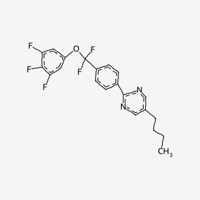 CCCCc1cnc(-c2ccc(C(F)(F)Oc3cc(F)c(F)c(F)c3)cc2)nc1